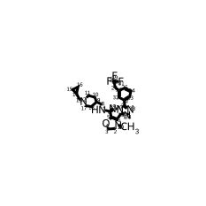 CN1CCOc2c(NCC3CCN(CC4CC4)CC3)nn3c(-c4cccc(CC(F)(F)F)c4)nnc3c21